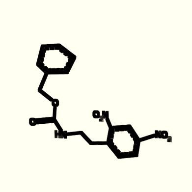 O=C(NCCc1ccc([N+](=O)[O-])cc1[N+](=O)[O-])OCc1ccccc1